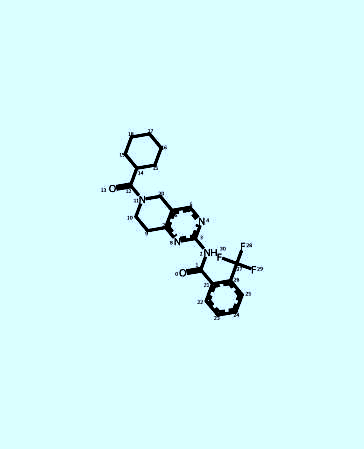 O=C(Nc1ncc2c(n1)CCN(C(=O)C1CCCCC1)C2)c1ccccc1C(F)(F)F